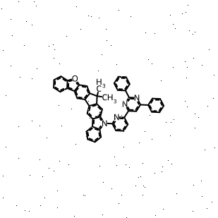 CC1(C)c2cc3oc4ccccc4c3cc2-c2cc3c4ccccc4n(-c4cccc(-c5cc(-c6ccccc6)nc(-c6ccccc6)n5)n4)c3cc21